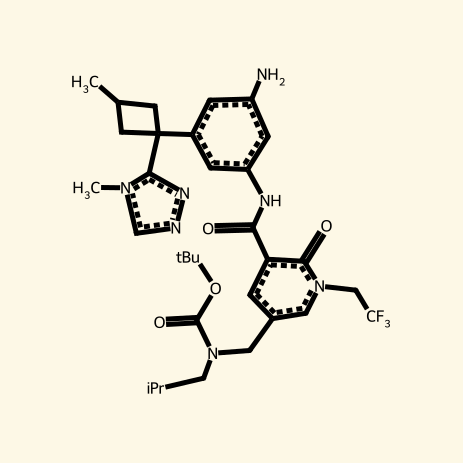 CC(C)CN(Cc1cc(C(=O)Nc2cc(N)cc(C3(c4nncn4C)CC(C)C3)c2)c(=O)n(CC(F)(F)F)c1)C(=O)OC(C)(C)C